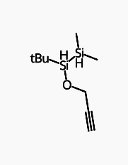 C#CCO[SiH]([SiH](C)C)C(C)(C)C